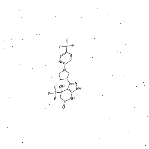 O=C1CC(O)(C(F)(F)F)c2c(C3CCN(c4ccc(C(F)(F)F)cn4)C3)n[nH]c2N1